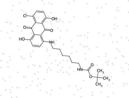 CC(C)(C)OC(=O)NCCCCCCNc1ccc(O)c2c1C(=O)c1c(O)ccc(Cl)c1C2=O